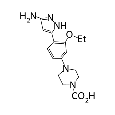 CCOc1cc(N2CCN(C(=O)O)CC2)ccc1-c1cc(N)n[nH]1